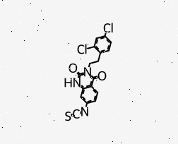 O=c1[nH]c2cc(N=C=S)ccc2c(=O)n1CCc1ccc(Cl)cc1Cl